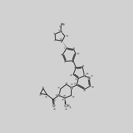 CC(C)N1CC[C@@H](c2ccc(-c3cc4c(N5CCN(C(=O)C6CC6)[C@H](C)C5)ccnn4c3)cc2)C1